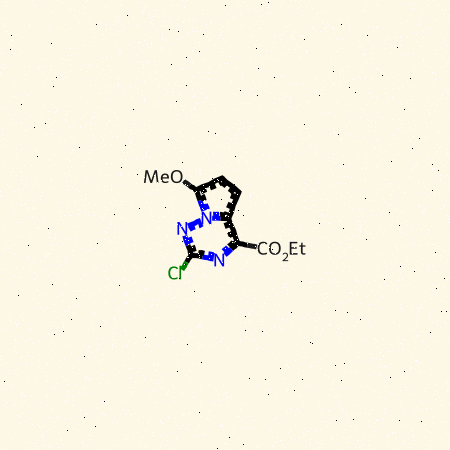 CCOC(=O)c1nc(Cl)nn2c(OC)ccc12